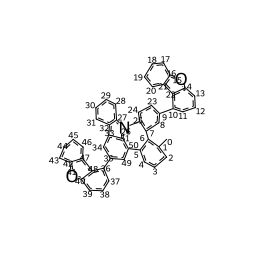 Cc1cccc2c1-c1cc(-c3cccc4oc5ccccc5c34)ccc1-n1c3ccccc3c3cc(-c4cccc5oc6ccccc6c45)cc-2c31